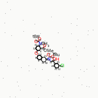 COC(=O)c1cc(Oc2ccc3c(c2)C[C@@H](N(C[C@H](O)c2cccc(Cl)c2)C(=O)OC(C)(C)C)CC3)ccc1N(C)C(=O)OC(C)(C)C